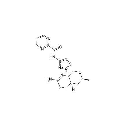 C[C@H]1C[C@H]2CSC(N)=N[C@@]2(c2nc(NC(=O)c3ncccn3)cs2)CO1